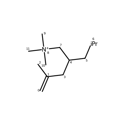 C=C(C)CC(CC(C)C)C[N+](C)(C)C